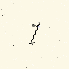 C/C=C(\CC)CCCCCCC(C)(C)F